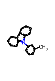 Cc1cc[c]c(-n2c3ccccc3c3ccccc32)c1